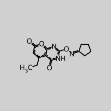 CCc1cc(=O)oc2nc(ON=C3CCCC3)[nH]c(=O)c12